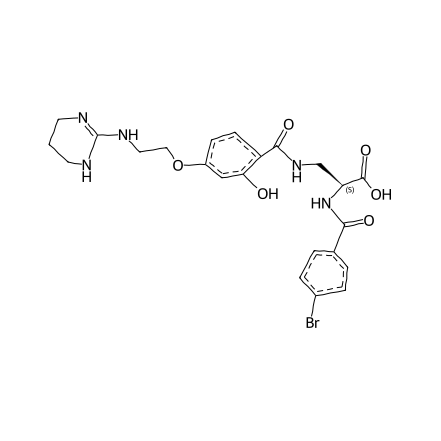 O=C(N[C@@H](CNC(=O)c1ccc(OCCNC2=NCCCN2)cc1O)C(=O)O)c1ccc(Br)cc1